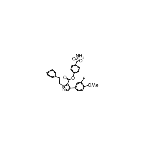 COc1ccc(-c2cnn(CCc3ccccc3)c2C(=O)Oc2ccc(S(N)(=O)=O)cc2)cc1F